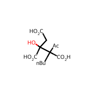 CCCCC(C(C)=O)(C(=O)O)C(O)(CC(=O)O)C(=O)O